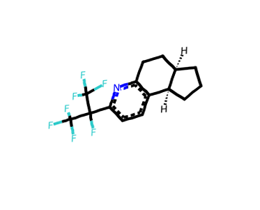 FC(F)(F)C(F)(c1ccc2c(n1)CC[C@H]1CCC[C@@H]21)C(F)(F)F